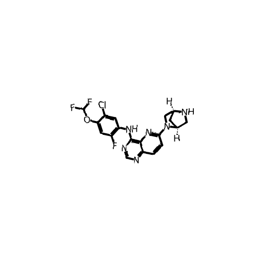 Fc1cc(OC(F)F)c(Cl)cc1Nc1ncnc2ccc(N3C[C@@H]4C[C@H]3CN4)nc12